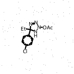 CCC1(c2ccc(Cl)cc2)N=NN(OC(C)=O)N1